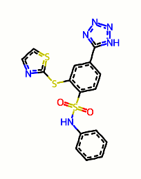 O=S(=O)(Nc1ccccc1)c1ccc(-c2nnn[nH]2)cc1Sc1nccs1